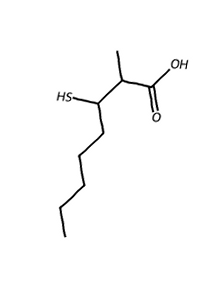 CCCCCC(S)C(C)C(=O)O